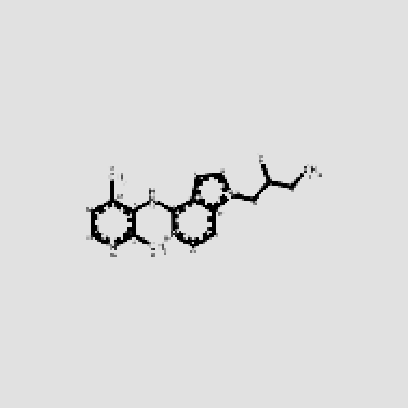 CCC(F)Cn1ccc2c(Nc3c(C)ccnc3C)nccc21